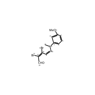 COc1cccc(N(C)/N=C\C(Br)=C(\Br)C=O)c1